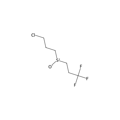 [O-][S+](CCCCl)CCC(F)(F)F